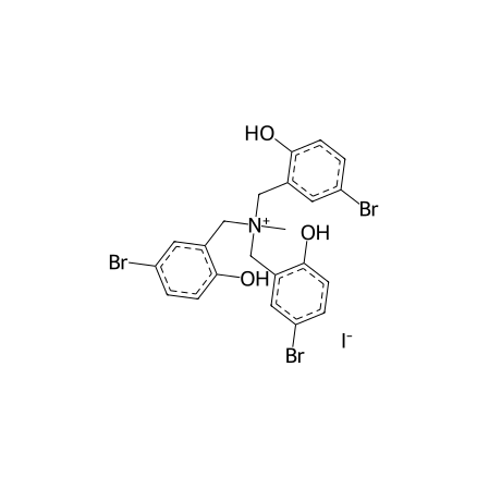 C[N+](Cc1cc(Br)ccc1O)(Cc1cc(Br)ccc1O)Cc1cc(Br)ccc1O.[I-]